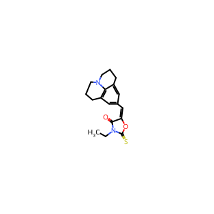 CCN1C(=O)/C(=C\c2cc3c4c(c2)CCCN4CCC3)OC1=S